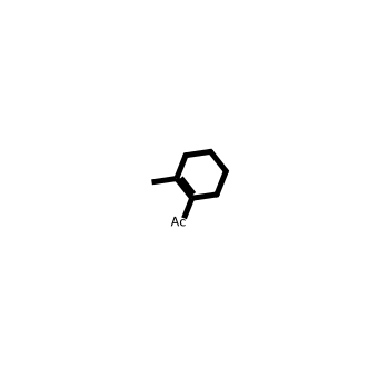 CC(=O)C1=C(C)CCCC1